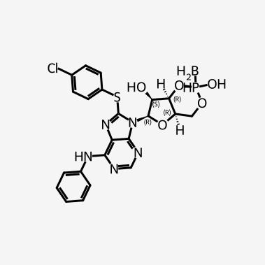 B[PH]1(O)OC[C@H]2O[C@@H](n3c(Sc4ccc(Cl)cc4)nc4c(Nc5ccccc5)ncnc43)[C@@H](O)[C@H]2O1